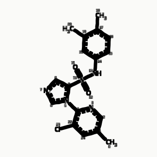 Cc1cnc(-n2cncc2S(=O)(=O)Nc2ccc(C)c(C)c2)c(Cl)c1